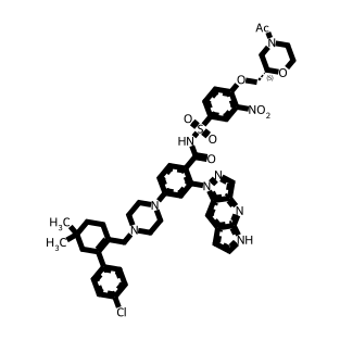 CC(=O)N1CCO[C@H](COc2ccc(S(=O)(=O)NC(=O)c3ccc(N4CCN(CC5=C(c6ccc(Cl)cc6)CC(C)(C)CC5)CC4)cc3-n3ncc4nc5[nH]ccc5cc43)cc2[N+](=O)[O-])C1